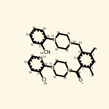 Cc1cc(C)c(C(=O)N2CCN(c3ncccc3Cl)CC2)cc1CN1CCN(c2ccccc2C#N)CC1